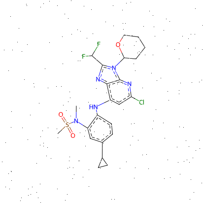 CN(c1cc(C2CC2)ccc1Nc1cc(Cl)nc2c1nc(C(F)F)n2C1CCCCO1)S(C)(=O)=O